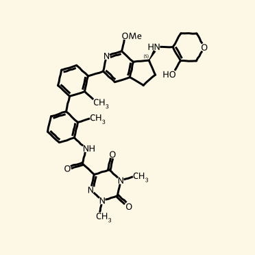 COc1nc(-c2cccc(-c3cccc(NC(=O)c4nn(C)c(=O)n(C)c4=O)c3C)c2C)cc2c1[C@@H](NC1=C(O)COCC1)CC2